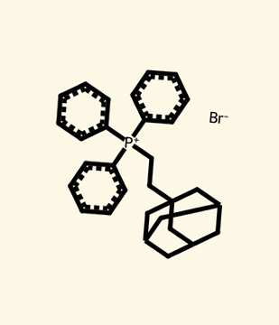 [Br-].c1ccc([P+](CCC23CC4CC(CC(C4)C2)C3)(c2ccccc2)c2ccccc2)cc1